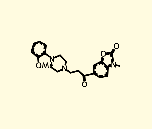 COc1ccccc1N1CCN(CCC(=O)c2ccc3c(c2)oc(=O)n3C)CC1